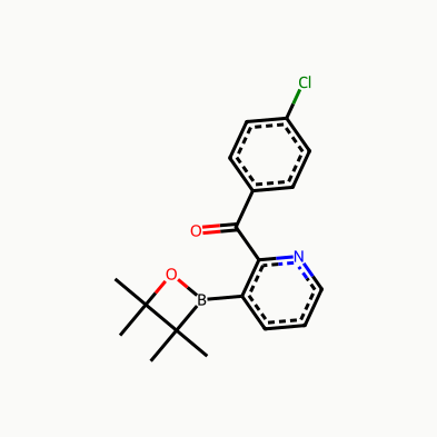 CC1(C)OB(c2cccnc2C(=O)c2ccc(Cl)cc2)C1(C)C